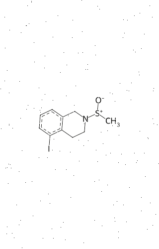 C[S+]([O-])N1CCc2c(I)cccc2C1